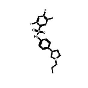 CCCN1CCC(c2ccc(NS(=O)(=O)c3cc(F)c(Br)cc3F)cc2)C1